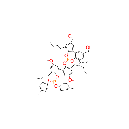 CCCCCc1cc(OC)cc(-c2cc(OC)cc(CCCC)c2OP(Oc2ccc(C)cc2)Oc2ccc(C)cc2)c1Op1oc2c(CCCC)cc(CO)cc2c2cc(CO)cc(CCCC)c2o1